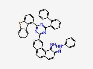 N=C1/C(=N\Nc2ccccc2)C=Cc2ccc3ccc(-c4nc(-c5ccccc5-c5ccccc5)nc(-c5cccc6sc7ccccc7c56)n4)cc3c21